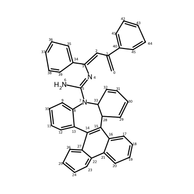 C=C(/C=C(\N=C(/N)N1c2ccccc2-c2c(c3ccccc3c3ccccc23)C2C=CC=CC21)c1ccccc1)c1ccccc1